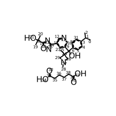 CC(C)c1ccc(C(O)(c2cncc(-c3noc(C(C)(C)O)n3)c2)C2(C)CN(C)C2)cc1.O=C(O)CCCCC(=O)O